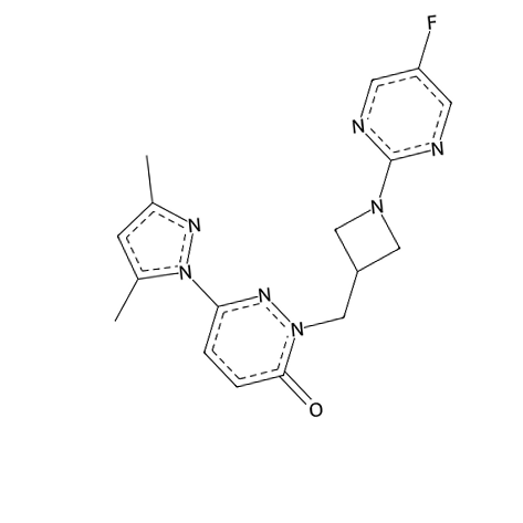 Cc1cc(C)n(-c2ccc(=O)n(CC3CN(c4ncc(F)cn4)C3)n2)n1